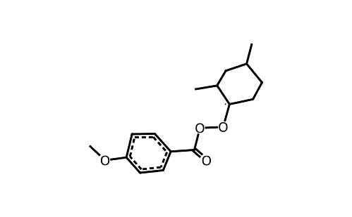 COc1ccc(C(=O)OO[C]2CCC(C)CC2C)cc1